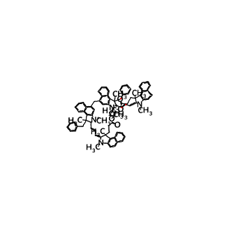 COC(=O)CCC1(C)/C(=C\C=C\C2=[N+](C)c3cc(Cc4cc5c(c6ccccc46)C(C)(Cc4ccccc4)C(/C=C/C=C4/N(C)c6ccc7ccccc7c6C4(C)CCC(=O)OC)=[N+]5C)c4ccccc4c3C2(C)Cc2ccccc2)N(C)c2ccc3ccccc3c21